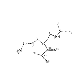 CC(C)NCC(CCCN)C(=O)C(C)C